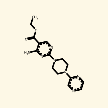 CCOC(=O)c1cnc(N2CCN(c3cnccn3)CC2)nc1N